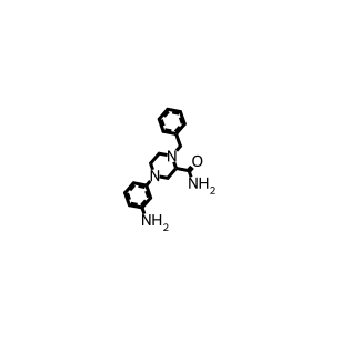 NC(=O)C1CN(c2cccc(N)c2)CCN1Cc1ccccc1